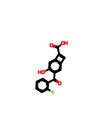 O=C(O)C1=Cc2cc(C(=O)c3ccccc3F)c(O)cc21